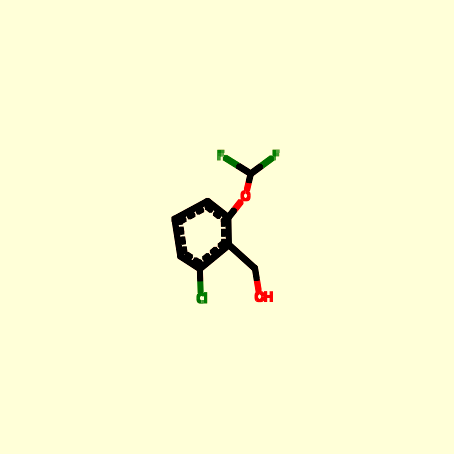 OCc1c(Cl)cccc1OC(F)F